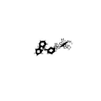 CC(C)(P)C(C)(C)OBc1cccc(-n2c3ccccc3c3ccccc32)c1